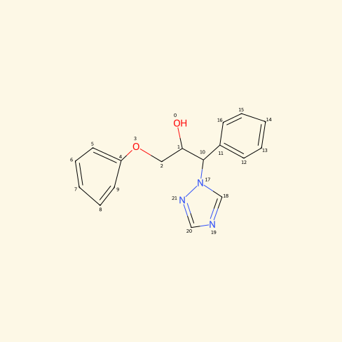 OC(COc1ccccc1)C(c1ccccc1)n1cncn1